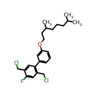 CC(C)CCCC(C)CCOc1cccc(-c2cc(CCl)c(F)cc2CCl)c1